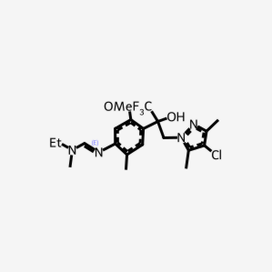 CCN(C)/C=N/c1cc(OC)c(C(O)(Cn2nc(C)c(Cl)c2C)C(F)(F)F)cc1C